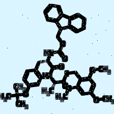 COc1cc(OC)c(CSC(=O)[C@H](C)NC(=O)[C@H](Cc2ccc(OC(C)(C)C)cc2)NC(=O)OCC2c3ccccc3-c3ccccc32)c(OC)c1